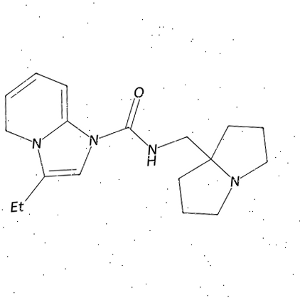 CCC1=CN(C(=O)NCC23CCCN2CCC3)C2=CC=CCN12